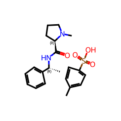 C[C@@H](NC(=O)[C@H]1CCCN1C)c1ccccc1.Cc1ccc(S(=O)(=O)O)cc1